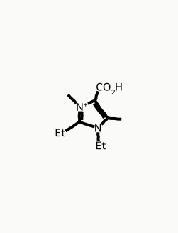 CCc1n(CC)c(C)c(C(=O)O)[n+]1C